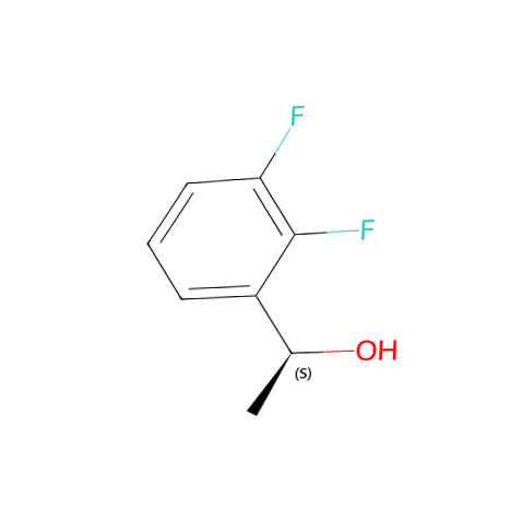 C[C@H](O)c1cccc(F)c1F